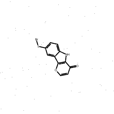 O=c1ccoc2c1[nH]c1ccc(SBr)cc12